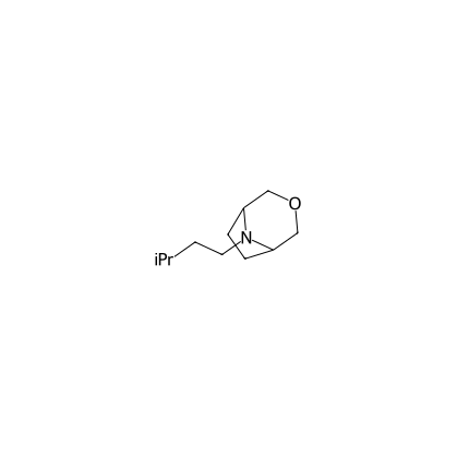 CC(C)CCN1C2CCC1COC2